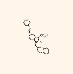 Cc1c(C(=O)O)c2cc(OCc3ccccc3)ccc2n1Cc1ccc2ccccc2c1